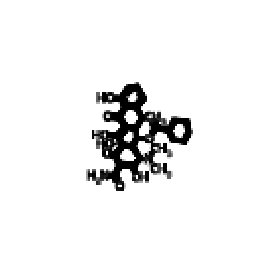 CC1c2cccc(O)c2C(=O)C2=C(O)[C@]3(O)C(=O)C(C(N)=O)=C(O)[C@@H](N(C)C)C3C(OC(=O)C3CCCCC3)C21